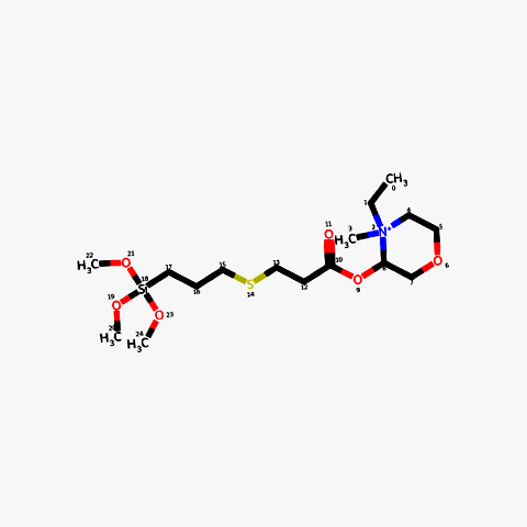 CC[N+]1(C)CCOCC1OC(=O)CCSCCC[Si](OC)(OC)OC